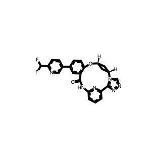 O=C1Nc2cccc(n2)-c2nncn2[C@H]2C[C@H](C2)Oc2ccc(-c3ccc(C(F)F)nc3)cc21